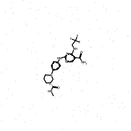 CNC(=O)[C@@H]1CCCN(c2ccc(Nc3ncc(C(N)=O)c(NCC(F)(F)F)n3)cc2)C1